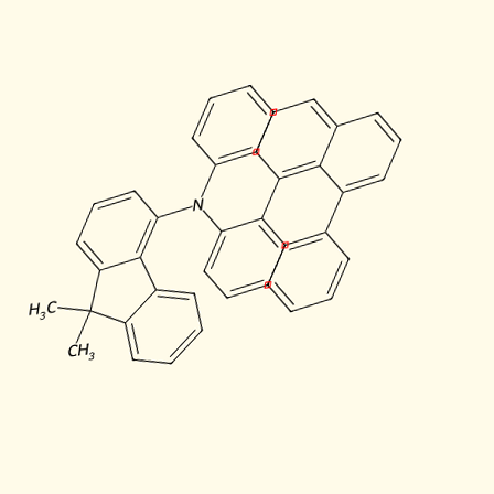 CC1(C)c2ccccc2-c2c(N(c3ccccc3)c3ccccc3C3=c4c(-c5ccccc5)cccc4=CCC3)cccc21